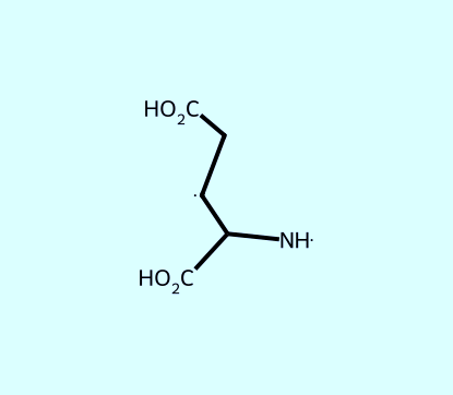 [NH]C([CH]CC(=O)O)C(=O)O